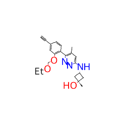 C#Cc1ccc(-c2nnc(N[C@H]3C[C@@](C)(O)C3)cc2C)c(OCOCC)c1